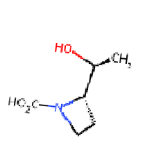 C[C@H](O)[C@@H]1CCN1C(=O)O